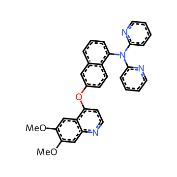 COc1cc2nccc(Oc3ccc4c(N(c5ccccn5)c5ccccn5)cccc4c3)c2cc1OC